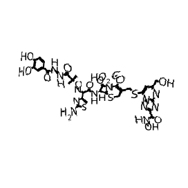 CC(C)(O/N=C(\C(=O)N[C@@H]1C(=O)N2C(OC(=O)O)=C(CSc3cc(CO)nc4nc(C(=O)NO)nn34)CS[C@H]12)c1csc(N)n1)C(=O)NNC(=O)c1ccc(O)c(O)c1